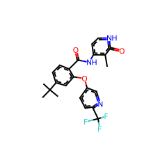 Cc1c(NC(=O)c2ccc(C(C)(C)C)cc2Oc2ccc(C(F)(F)F)nc2)cc[nH]c1=O